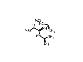 C=CC#N.CCCCNC(=N)NC(=N)N.Cl